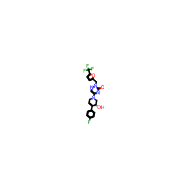 O=c1nc(N2CC=C(c3ccc(F)cc3)[C@@H](O)C2)cnn1Cc1ccc(C(F)(F)F)o1